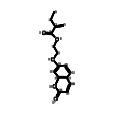 C=C(CC)C(=O)OCCOc1ccc2ccc(=O)oc2c1